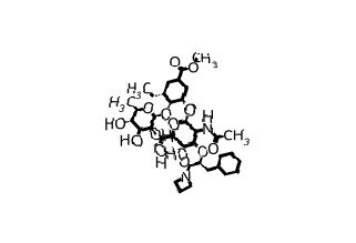 CC[C@@H]1CC(C(=O)OC)C[C@@H](O[C@@H]2OC(CO)[C@H](O)C(O[C@@H](CC3CCCCC3)C(=O)N3CCC3)C2NC(C)=O)[C@H]1O[C@@H]1OC(C)[C@@H](O)C(O)[C@@H]1O